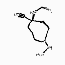 BNN1CCC(C#C)(NB)CC1